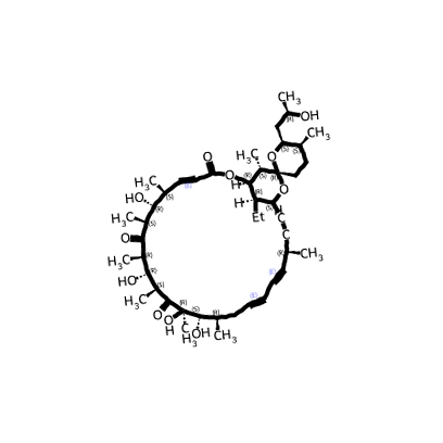 CC[C@H]1[C@H]2OC(=O)/C=C/[C@H](C)[C@@H](O)[C@H](C)C(=O)[C@H](C)[C@@H](O)[C@H](C)C(=O)[C@](C)(O)[C@@H](O)[C@H](C)C/C=C/C=C/[C@H](C)CC[C@@H]1O[C@]1(CC[C@H](C)[C@H](C[C@@H](C)O)O1)[C@H]2C